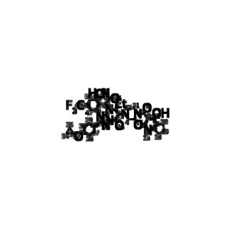 CCc1c(N2CCN(C(=O)c3c(O)c4c(n(C)c3=O)CCC4)CC2)c(=O)n2nc(-c3ccc(OC4CC4)cc3)nc2n1C(C(N)=O)c1ccc(C(F)(F)F)cc1Cl